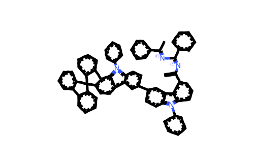 C=C(/N=C(\N=C(/C)c1ccccc1)c1ccccc1)c1cccc2c1c1cc(-c3ccc4c(c3)c3ccc5c(c3n4-c3ccccc3)-c3ccccc3C53c4ccccc4-c4ccccc43)ccc1n2-c1ccccc1